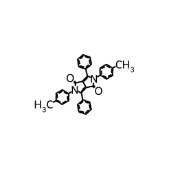 Cc1ccc(N2C(=O)C3=C(c4ccccc4)N(c4ccc(C)cc4)C(=O)C3=C2c2ccccc2)cc1